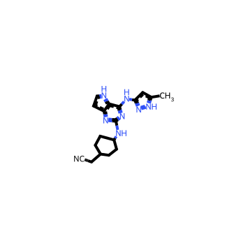 Cc1cc(Nc2nc(NC3CCC(CC#N)CC3)nc3cc[nH]c23)n[nH]1